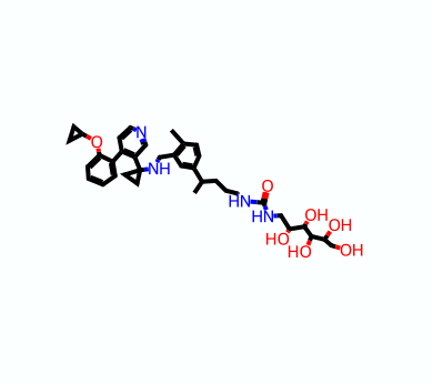 Cc1ccc(C(C)CCCNC(=O)NCC(O)C(O)C(O)C(O)CO)cc1CNC1(c2cnccc2-c2ccccc2OC2CC2)CC1